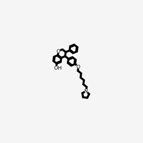 Oc1ccc2c(c1)C(c1ccc(OCCCCCCN3CCCC3)cc1)C(c1ccccc1)CO2